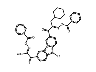 CCCCC(=NOC(=O)c1ccccc1)C(=O)c1ccc2c(c1)c1cc(C(=O)C(CC3CCCCC3)=NOC(=O)c3ccccc3)ccc1n2CC